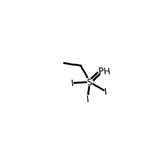 CCS(=P)(I)(I)I